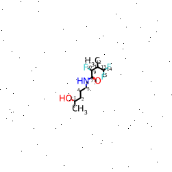 CC(O)CCCNC(=O)C(F)C(C)C(F)F